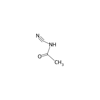 CC(=O)NC#N